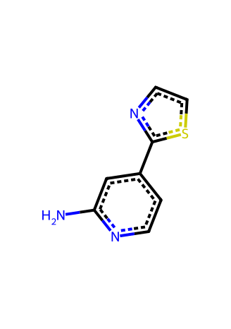 Nc1cc(-c2nccs2)ccn1